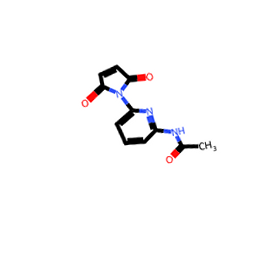 CC(=O)Nc1cccc(N2C(=O)C=CC2=O)n1